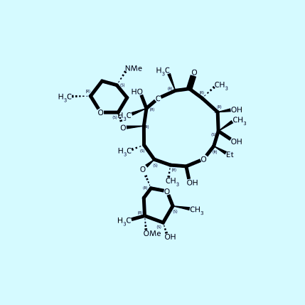 CC[C@H]1OC(O)[C@H](C)[C@@H](O[C@H]2C[C@@](C)(OC)[C@@H](O)[C@H](C)O2)[C@H](C)[C@@H](O[C@H]2C[C@@H](NC)C[C@@H](C)O2)[C@](C)(O)C[C@@H](C)C(=O)[C@H](C)[C@@H](O)[C@]1(C)O